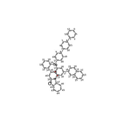 c1ccc(-c2ccc(-c3ccc(N(c4cccc(-c5ccc6ccccc6c5)c4)c4ccccc4-c4ccc5c(c4)oc4ccccc45)cc3)cc2)cc1